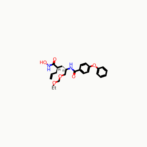 C=CC[C@H](C[C@@H](COCOCC)NC(=O)c1ccc(Oc2ccccc2)cc1)C(=O)NO